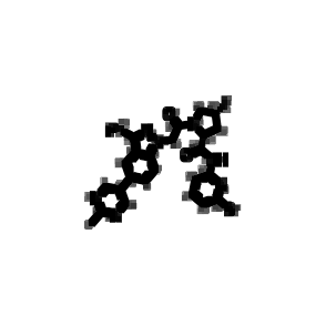 Cc1ncc(-c2ccc3c(c2)c(C(C)C)nn3CC(=O)N2C[C@H](F)C[C@H]2C(=O)Nc2cccc(Br)n2)cn1